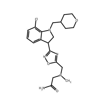 CN(CC(N)=O)Cc1nc(C2CN(CC3CCOCC3)c3c(Cl)cccc32)no1